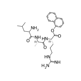 CC(C)CC(N)C(=O)N[C@@H](C)C(=O)N[C@@H](CCCNC(=N)N)C(=O)Oc1cccc2ccccc12